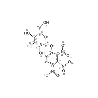 O=[N+]([O-])c1ccc(O[C@H]2O[C@H](CO)[C@H](O)[C@H](O)[C@H]2O)c([N+](=O)[O-])c1[N+](=O)[O-]